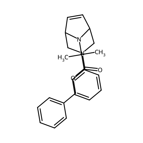 CC(C)(c1ccccc1)N1C2C=CC1CN(C(=O)OCc1ccccc1)C2